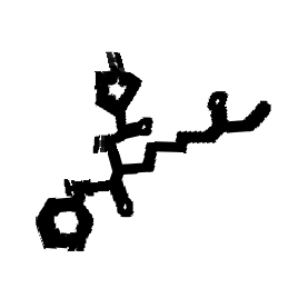 CCC(=O)CCCCCC(NC(=O)c1cn[nH]c1)C(=O)Nc1cccnc1